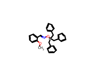 COc1ccccc1C=NO[Si](Cc1ccccc1)(Cc1ccccc1)Cc1ccccc1